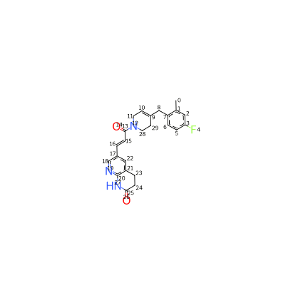 Cc1cc(F)ccc1CC1=CCN(C(=O)C=Cc2cnc3c(c2)CCC(=O)N3)CC1